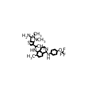 C=C(Nc1c(C)ccc2c(Nc3ccc(OC(F)(F)F)cc3)nccc12)c1csc2c1N(C)N(C)C2N